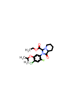 CCOC(=O)C1N(c2cc(OC(C)C)c(Cl)cc2F)C(=O)C2CCCCN21